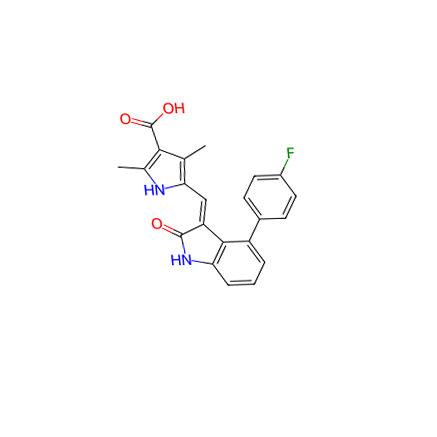 Cc1[nH]c(C=C2C(=O)Nc3cccc(-c4ccc(F)cc4)c32)c(C)c1C(=O)O